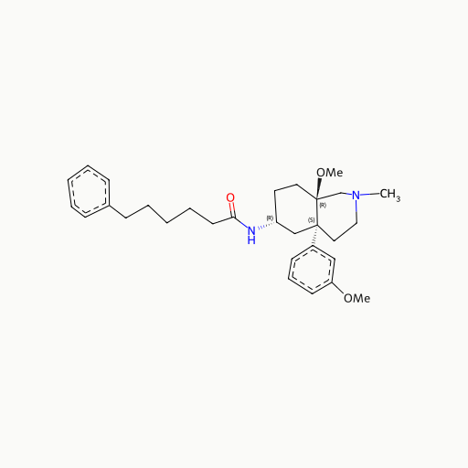 COc1cccc([C@@]23CCN(C)C[C@@]2(OC)CC[C@@H](NC(=O)CCCCCc2ccccc2)C3)c1